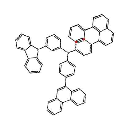 c1ccc(-c2cccc3cccc(-c4ccc(N(c5ccc(-c6cc7ccccc7c7ccccc67)cc5)c5cccc(-n6c7ccccc7c7ccccc76)c5)cc4)c23)cc1